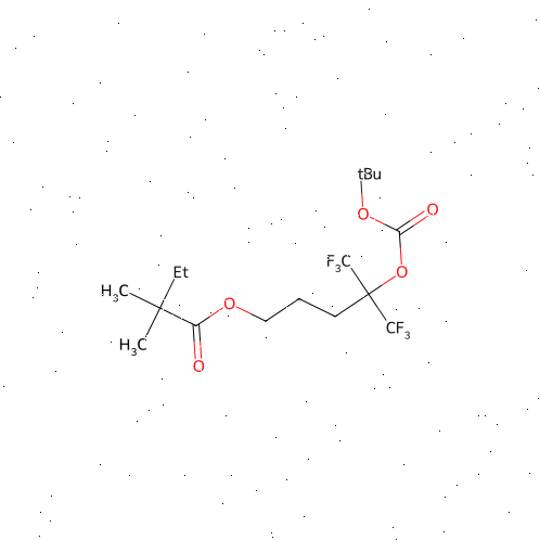 CCC(C)(C)C(=O)OCCCC(OC(=O)OC(C)(C)C)(C(F)(F)F)C(F)(F)F